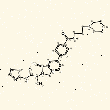 C[C@H](C(=O)Nc1nccs1)N1Cc2ccc(-c3ccc(C(=O)NCCCN4CCOCC4)cc3)cc2C1=O